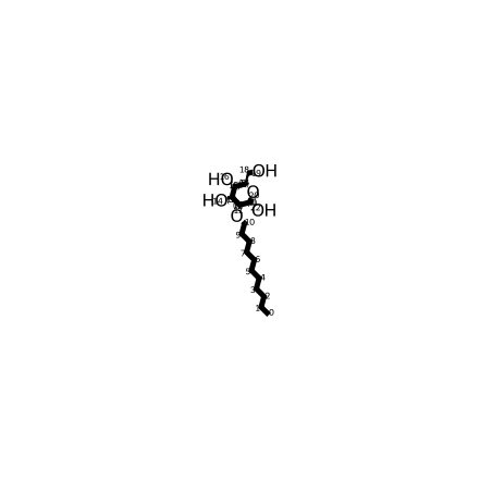 CCCCCCCCCCCO[C@@H]1[C@@H](O)[C@H](O)[C@@H](CO)O[C@H]1O